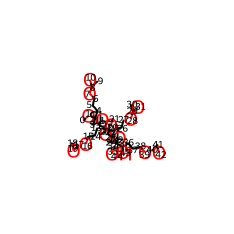 CO[Si](C)(CCCOC1CO1)O[Si](CCCOC1CO1)(OC)O[Si](C)(CCCOC1CO1)O[Si](CO)(CCCOC1CO1)OC